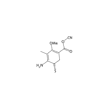 COC1=C(C(=O)OC#N)CC(=S)C(N)=C1C